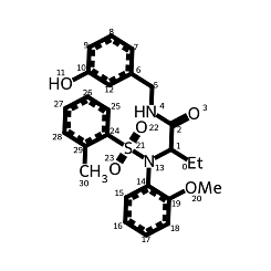 CCC(C(=O)NCc1cccc(O)c1)N(c1ccccc1OC)S(=O)(=O)c1ccccc1C